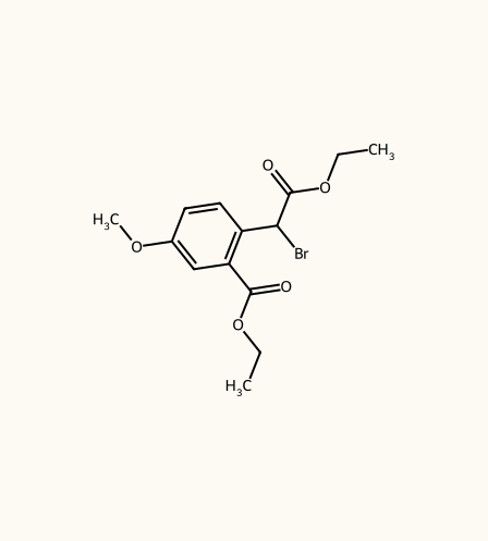 CCOC(=O)c1cc(OC)ccc1C(Br)C(=O)OCC